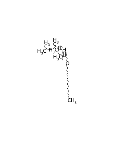 CCCCCCCCCCCCCCCCO[C@H]1CC[C@@]2(C)C(=CC[C@H]3[C@@H]4CC[C@H]([C@H](C)CCCC(C)C)[C@@]4(C)CC[C@@H]32)C1